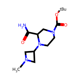 CN1CC(N2CCN(C(=O)OC(C)(C)C)CC2C(N)=O)C1